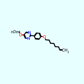 C=CCCCCCCOc1ccc(-c2ncc(OCCCCCCCCCC)cn2)cc1